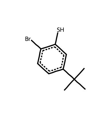 CC(C)(C)c1ccc(Br)c(S)c1